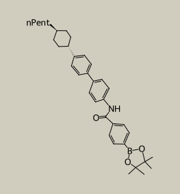 CCCCC[C@H]1CC[C@H](c2ccc(-c3ccc(NC(=O)c4ccc(B5OC(C)(C)C(C)(C)O5)cc4)cc3)cc2)CC1